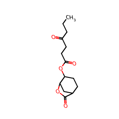 CCCC(=O)CCC(=O)OC1CCC2CC1OC2=O